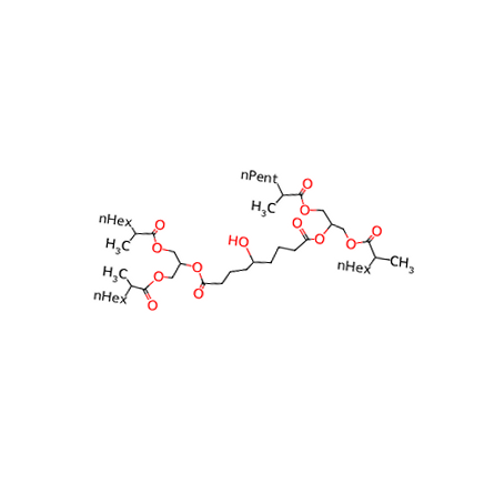 CCCCCCC(C)C(=O)OCC(COC(=O)C(C)CCCCC)OC(=O)CCCC(O)CCCC(=O)OC(COC(=O)C(C)CCCCCC)COC(=O)C(C)CCCCCC